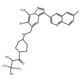 CC(C)(O)C(O)C(=O)N1CCC(NCc2nc3c(-c4cnc5ccc(F)cc5c4)cnn3c(N)c2Br)CC1